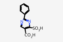 O=C(O)c1cnc(-c2ccccc2)nc1S(=O)(=O)O